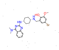 COc1cc(Br)cc(CN[C@H]2CC[C@@H](Nc3nc(N(C)C)c4ccccc4n3)CC2)c1O